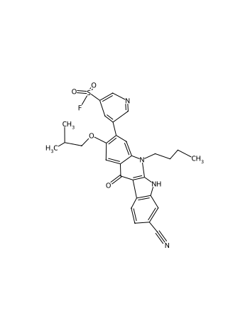 CCCCn1c2cc(-c3cncc(S(=O)(=O)F)c3)c(OCC(C)C)cc2c(=O)c2c3ccc(C#N)cc3[nH]c21